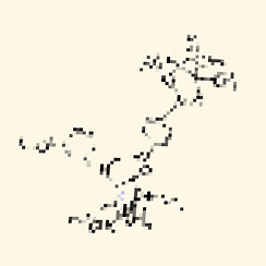 C=N/C(=C(/C(=O)N(C)C)N(COc1ccc(B2OC(C)(C)C(C)(C)O2)cc1)Cc1cccc(OC)c1)N(C)C=O